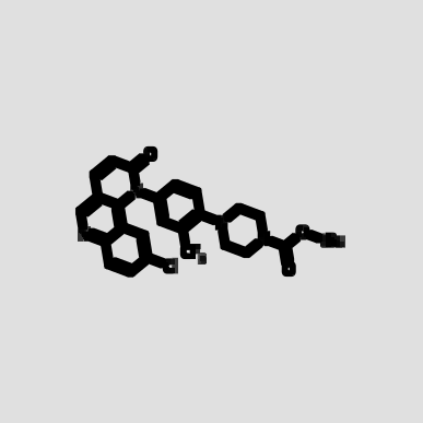 CC(C)(C)OC(=O)N1CCN(c2ccc(-n3c(=O)ccc4cnc5ccc(Cl)cc5c43)cc2C(F)(F)F)CC1